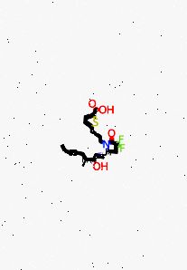 CCC#CC[C@H](C)[C@@H](O)/C=C/[C@H]1CC(F)(F)C(=O)N1CCCc1ccc(C(=O)O)s1